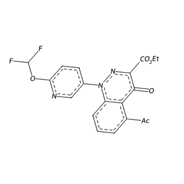 CCOC(=O)c1nn(-c2ccc(OC(F)F)nc2)c2cccc(C(C)=O)c2c1=O